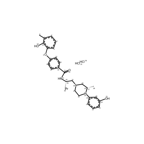 Cc1cccc(Oc2ccc(C(=O)N[C@H](CN3CCN(c4cccc(O)c4)[C@@H](C)C3)C(C)C)cc2)c1O.Cl.Cl